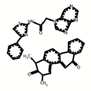 CC1C=c2c(ccc3c2=CC(=O)c2ccccc2-3)C(C)C1=O.O=C(Cn1cnc2ncncc21)Nc1nc(-c2ccccc2)cs1